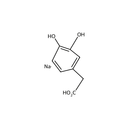 O=C(O)Cc1ccc(O)c(O)c1.[Na]